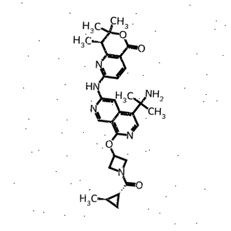 C[C@@H]1C[C@H]1C(=O)N1CC(Oc2ncc(C(C)(C)N)c3cc(Nc4ccc5c(n4)[C@@H](C)C(C)(C)OC5=O)ncc23)C1